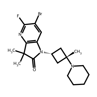 CC1(C)C(=O)N([C@H]2C[C@@](C)(N3CCCCC3)C2)c2cc(Br)c(F)nc21